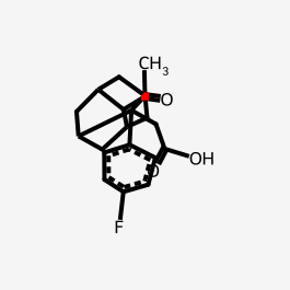 CC(=O)C1C2CC3CC1CC(C2)C3(CC(=O)O)c1ccc(F)cc1